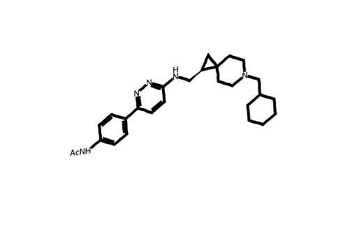 CC(=O)Nc1ccc(-c2ccc(NC[C@H]3CC34CCN(CC3CCCCC3)CC4)nn2)cc1